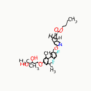 CCCCOC(=O)[C@H]1[C@@H]2Cc3cc(OCc4cc(-c5c(C)cc(OCCC(O)C(C)(C)O)cc5C)c(F)cc4F)ncc3[C@@H]21